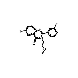 COCCn1c(-c2cccc(C)c2)nc2ccc(I)cc2c1=O